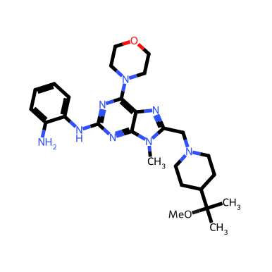 COC(C)(C)C1CCN(Cc2nc3c(N4CCOCC4)nc(Nc4ccccc4N)nc3n2C)CC1